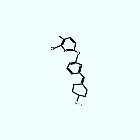 Cc1ccc(Oc2cccc(C=C3CCC(N)CC3)c2)nc1Cl